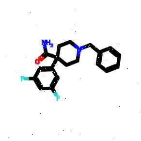 NC(=O)C1(c2cc(F)cc(F)c2)CCN(Cc2ccccc2)CC1